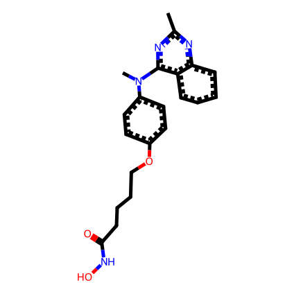 Cc1nc(N(C)c2ccc(OCCCCC(=O)NO)cc2)c2ccccc2n1